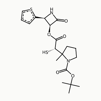 CC(C)(C)OC(=O)N1CCCC1(C)[C@H](S)C(=O)O[C@@H]1C(=O)N[C@@H]1c1cccs1